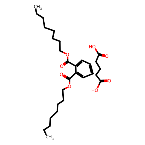 CCCCCCCCOC(=O)c1ccccc1C(=O)OCCCCCCCC.O=C(O)CCCC(=O)O